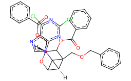 O=C(OC[C@H]1OC2[C@@H]3C(COCc4ccccc4)(C1OC(=O)c1ccccc1)C23n1cnc2c(Cl)nc(Cl)nc21)c1ccccc1